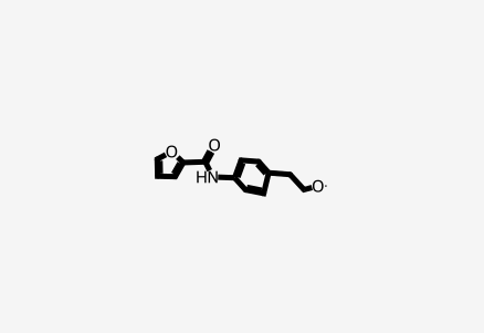 [O]CCc1ccc(NC(=O)c2ccco2)cc1